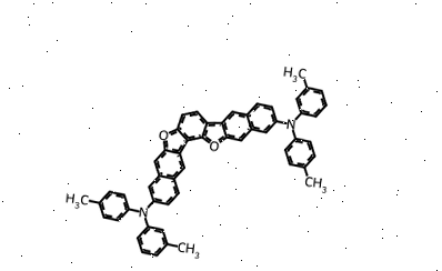 Cc1ccc(N(c2cccc(C)c2)c2ccc3cc4c(cc3c2)oc2c4ccc3oc4cc5cc(N(c6ccc(C)cc6)c6cccc(C)c6)ccc5cc4c32)cc1